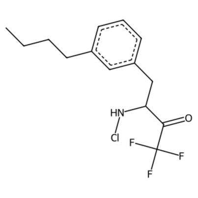 CCCCc1cccc(CC(NCl)C(=O)C(F)(F)F)c1